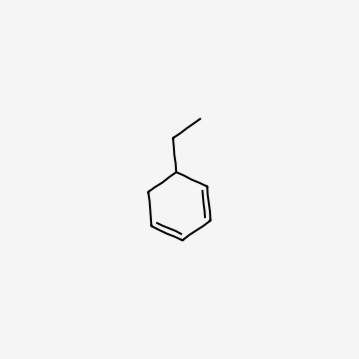 CCC1C=CC=CC1